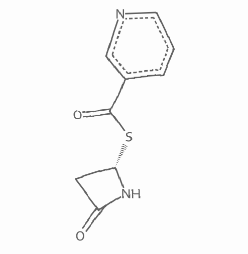 O=C1C[C@H](SC(=O)c2cccnc2)N1